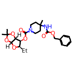 CC[C@H]1O[C@@H]2OC(C)(C)O[C@@H]2[C@H]1OC(=O)N1CCC(C)(NC(=O)OCc2ccccc2)CC1